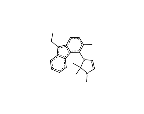 CCn1c2ccccc2c2c(N3C=CN(C)C3(C)C)c(C)ccc21